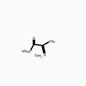 CCCCCC(=O)C(=O)OC(C)=O.[GaH3]